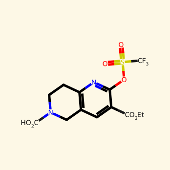 CCOC(=O)c1cc2c(nc1OS(=O)(=O)C(F)(F)F)CCN(C(=O)O)C2